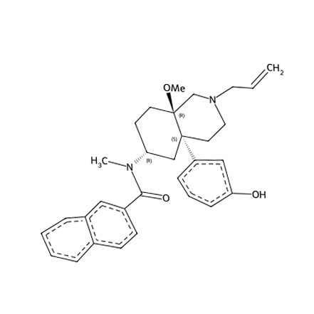 C=CCN1CC[C@@]2(c3cccc(O)c3)C[C@H](N(C)C(=O)c3ccc4ccccc4c3)CC[C@]2(OC)C1